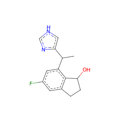 CC(c1c[nH]cn1)c1cc(F)cc2c1C(O)CC2